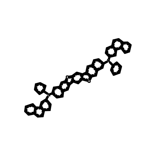 c1ccc(N(c2ccc3cc4c(cc3c2)oc2cc3c(cc24)oc2cc4cc(N(c5ccccc5)c5ccc6ccc7ccccc7c6c5)ccc4cc23)c2ccc3ccc4ccccc4c3c2)cc1